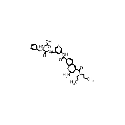 CCCN(CCC)C(=O)C1=Cc2ccc(C(=O)Nc3cncc(CNC(=O)[C@H](Cc4ccccc4)NC(=O)O)c3)cc2N=C(N)C1